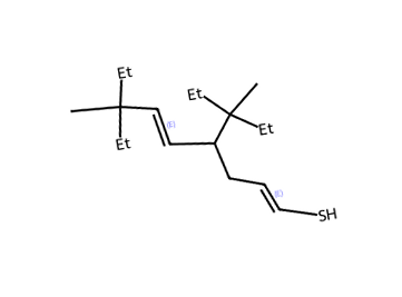 CCC(C)(/C=C/C(C/C=C/S)C(C)(CC)CC)CC